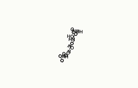 CCN(C(=O)CCN1CCC(OC(=O)Nc2ccccc2-c2ccccc2)CC1)c1ccc(CNC[C@H](O)c2ccc(O)c3[nH]c(=O)ccc23)cc1